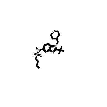 CCCCS(=O)(=O)N(C)c1ccc2c(c1)nc(C(C)(C)C)n2CC1CCOCC1